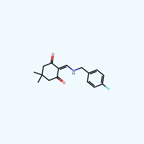 CC1(C)CC(=O)C(=CNCc2ccc(F)cc2)C(=O)C1